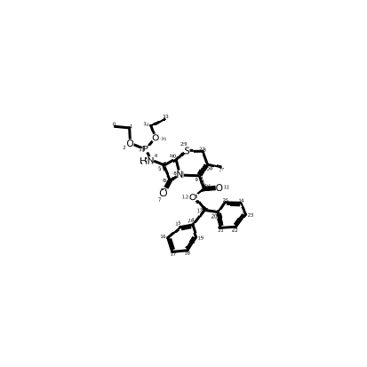 CCOP(NC1C(=O)N2C(C(=O)OC(c3ccccc3)c3ccccc3)=C(C)CSC12)OCC